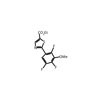 CCOC(=O)c1cnc(-c2cc(F)c(F)c(OC)c2F)s1